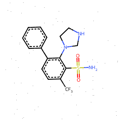 NS(=O)(=O)c1c(C(F)(F)F)ccc(-c2ccccc2)c1N1CCNC1